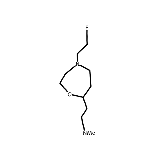 CNCCC1CCN(CCF)CCO1